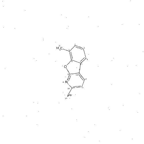 Cc1cccc2c1oc1nc(C(C)C)ccc12